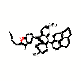 C=C/C=C\c1oc2ccc(-c3c4cc(C(C)(C)C)ccc4c(-c4ccc5ccc6cccc7ccc4c5c67)c4cc(C(C)(C)C)ccc34)cc2c1C